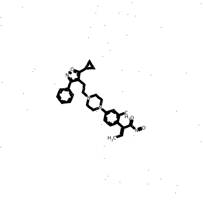 C/C=C(/C(=O)N=O)c1ccc(N2CCN(CCc3c(-c4ccccc4)noc3C3CC3)CC2)cc1C